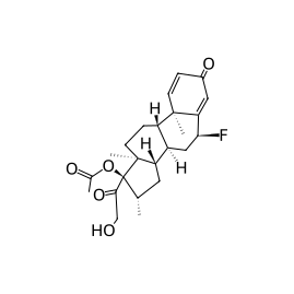 CC(=O)O[C@]1(C(=O)CO)[C@@H](C)C[C@H]2[C@@H]3C[C@H](F)C4=CC(=O)C=C[C@]4(C)[C@H]3CC[C@@]21C